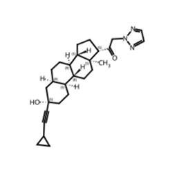 C[C@]12CC[C@H]3[C@@H](CC[C@@H]4C[C@](O)(C#CC5CC5)CC[C@@H]43)[C@@H]1CC[C@@H]2C(=O)Cn1nccn1